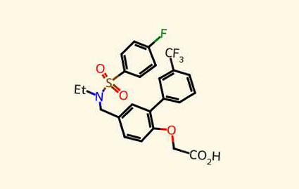 CCN(Cc1ccc(OCC(=O)O)c(-c2cccc(C(F)(F)F)c2)c1)S(=O)(=O)c1ccc(F)cc1